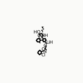 CSCC[C@H](NC(=O)c1ccc(COCc2cnc(-c3ccccc3Cl)o2)cc1-c1ccccc1C)C(=O)O.[LiH]